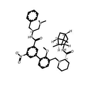 COc1c(CN2CCCC[C@H]2C(=O)N[C@H]2C[C@H]3C[C@@H]([C@@H]2C)C3(C)C)cccc1-c1cc(C(=O)N[C@@H](Cc2ccccc2)CN(C)C)cc([N+](=O)[O-])c1